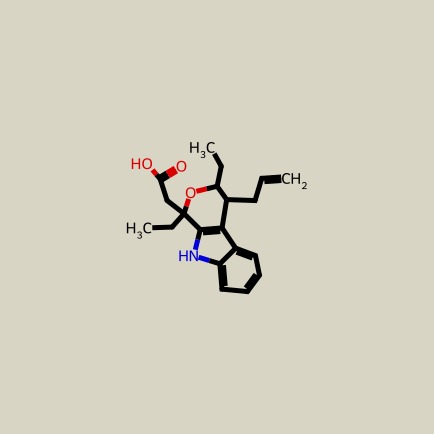 C=CCC1c2c([nH]c3ccccc23)C(CC)(CC(=O)O)OC1CC